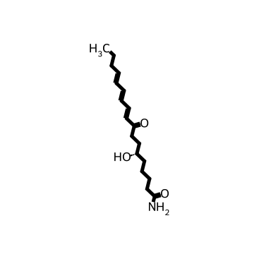 CCC/C=C/C=C/C=C/C(=O)CC[C@@H](O)CCCCC(N)=O